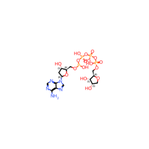 Nc1ncnc2c1ncn2[C@H]1C[C@H](O)[C@@H](COP(O)OP(=O)(O)OP(=O)(O)OP(=O)(O)OC[C@H]2OC[C@H](O)[C@@H]2O)O1